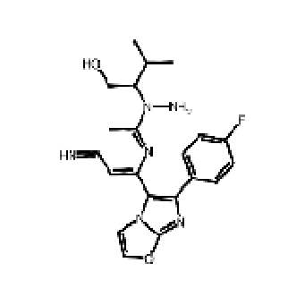 C/C(=N\C(=C/C=N)c1c(-c2ccc(F)cc2)nc2occn12)N(N)[C@@H](CO)C(C)C